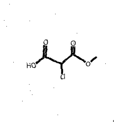 COC(=O)C(Cl)C(=O)O